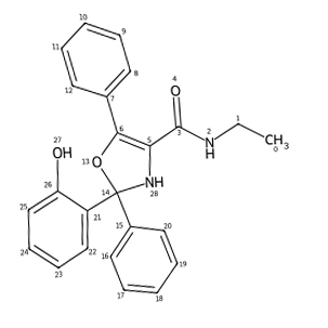 CCNC(=O)C1=C(c2ccccc2)OC(c2ccccc2)(c2ccccc2O)N1